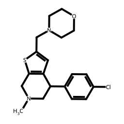 CN1Cc2sc(CN3CCOCC3)cc2C(c2ccc(Cl)cc2)C1